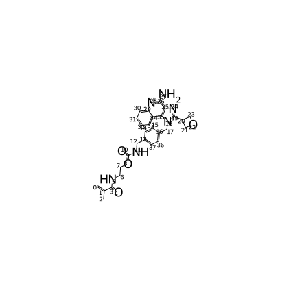 C=C(C)C(=O)NCCOC(=O)NCc1ccc(Cn2c(C3COC3)nc3c(N)nc4ccccc4c32)cc1